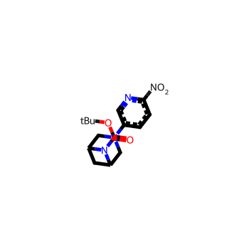 CC(C)(C)OC(=O)N1C2CC1CN(c1ccc([N+](=O)[O-])nc1)C2